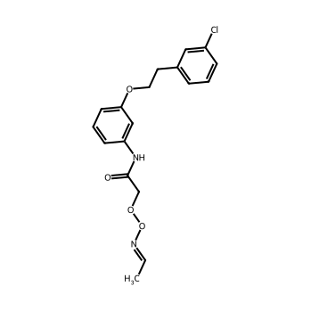 CC=NOOCC(=O)Nc1cccc(OCCc2cccc(Cl)c2)c1